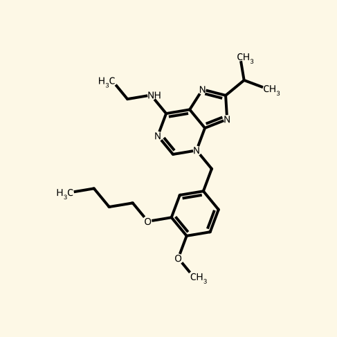 CCCCOc1cc(Cn2cnc(NCC)c3nc(C(C)C)nc2-3)ccc1OC